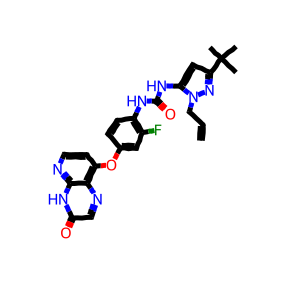 C=CCn1nc(C(C)(C)C)cc1NC(=O)Nc1ccc(Oc2ccnc3[nH]c(=O)cnc23)cc1F